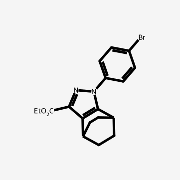 CCOC(=O)c1nn(-c2ccc(Br)cc2)c2c1C1CCC2CC1